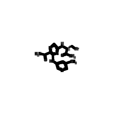 Cc1cncc(Nc2nc(N[C@H](CC(C)C)C(N)=O)cnc2C(N)=O)c1